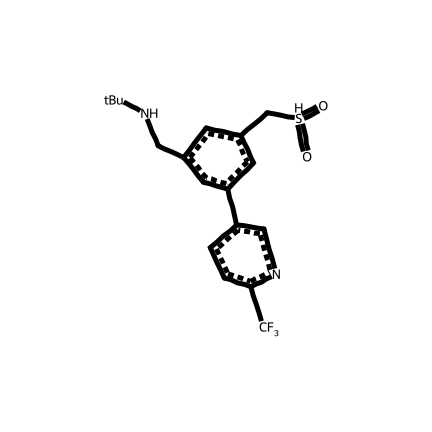 CC(C)(C)NCc1cc(C[SH](=O)=O)cc(-c2ccc(C(F)(F)F)nc2)c1